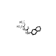 O=C(O)CC(NC(=S)Nc1ccc2ccccc2c1)C(=O)O